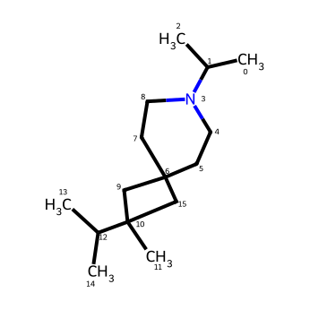 CC(C)N1CCC2(CC1)CC(C)(C(C)C)C2